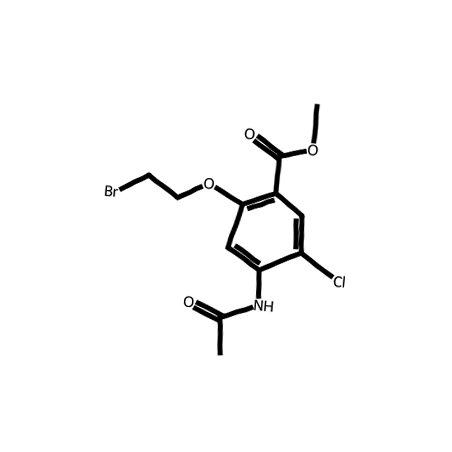 COC(=O)c1cc(Cl)c(NC(C)=O)cc1OCCBr